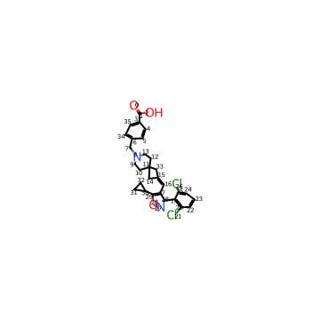 O=C(O)c1ccc(CN2CCC3(CC2)CC(=Cc2c(-c4c(Cl)cccc4Cl)noc2C2CC2)C3)cc1